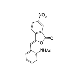 CC(=O)Nc1ccccc1C=C1OC(=O)c2cc([N+](=O)[O-])ccc21